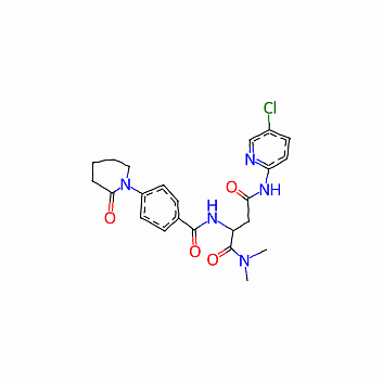 CN(C)C(=O)C(CC(=O)Nc1ccc(Cl)cn1)NC(=O)c1ccc(N2CCCCC2=O)cc1